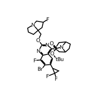 CC(C)(C)OC(=O)N1C2CCC1CN(c1nc(OCC34CCCN3CC(F)C4)nc3c(F)c(Br)c(C4CC4(F)F)cc13)C2